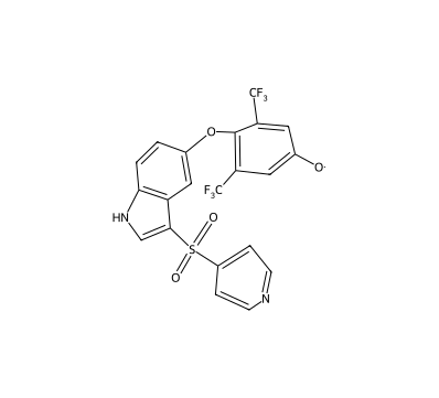 [O]c1cc(C(F)(F)F)c(Oc2ccc3[nH]cc(S(=O)(=O)c4ccncc4)c3c2)c(C(F)(F)F)c1